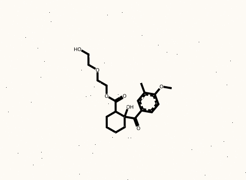 COc1ccc(C(=O)C2(O)CCCCC2C(=O)OCCOCCO)cc1C